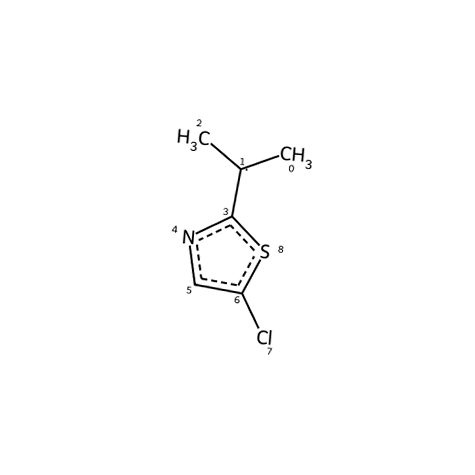 C[C](C)c1ncc(Cl)s1